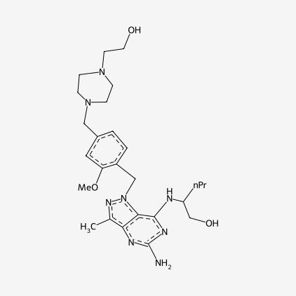 CCCC(CO)Nc1nc(N)nc2c(C)nn(Cc3ccc(CN4CCN(CCO)CC4)cc3OC)c12